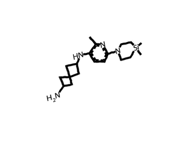 Cc1nc(N2CC[Si](C)(C)CC2)ccc1NC1CC2(CC(N)C2)C1